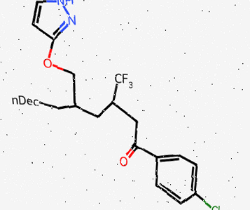 CCCCCCCCCCCC(COc1cc[nH]n1)CC(CC(=O)c1ccc(Cl)cc1)C(F)(F)F